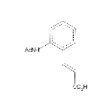 CC(=O)Nc1ccccc1C=CC(=O)O